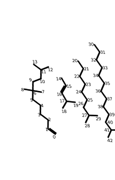 C=CCCCCC(C)(C)CCC(C)C.CC=CC(C)C.CCCCCCCC(C)C.CCCCCCCCCCCC(C)C